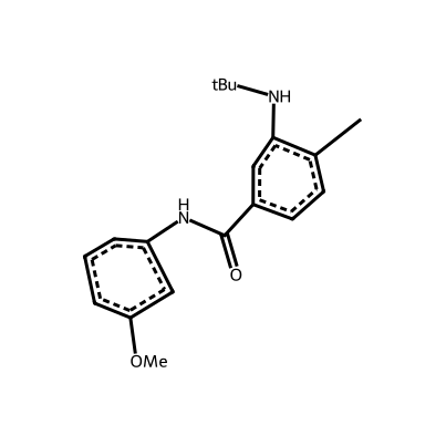 COc1cccc(NC(=O)c2ccc(C)c(NC(C)(C)C)c2)c1